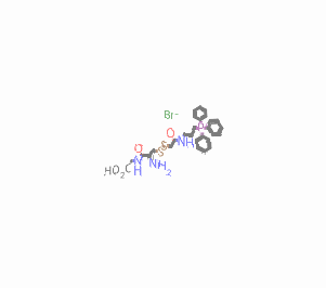 N[C@@H](CSSCC(=O)NCCC[P+](c1ccccc1)(c1ccccc1)c1ccccc1)C(=O)NCC(=O)O.[Br-]